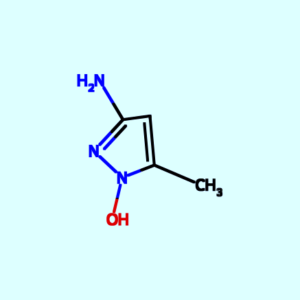 Cc1cc(N)nn1O